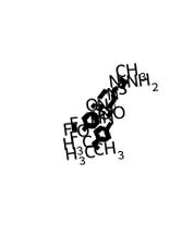 Cc1nc(N2CCN(S(=O)(=O)c3ccc(OC(F)(F)F)cc3)[C@@H](C(=O)NCc3ccc(C(C)(C)C)cc3)C2)sc1N